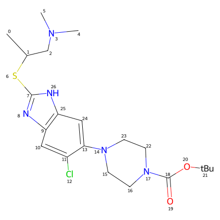 CC(CN(C)C)Sc1nc2cc(Cl)c(N3CCN(C(=O)OC(C)(C)C)CC3)cc2[nH]1